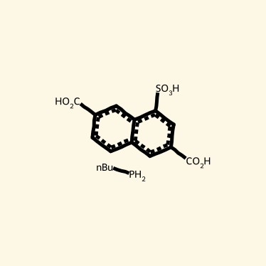 CCCCP.O=C(O)c1cc(S(=O)(=O)O)c2cc(C(=O)O)ccc2c1